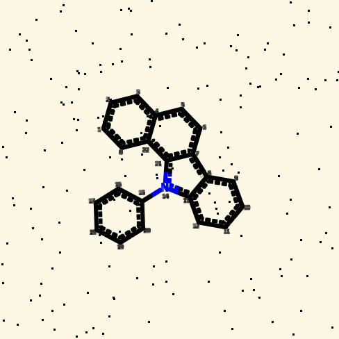 [c]1cccc2ccc3c4ccccc4n(-c4ccccc4)c3c12